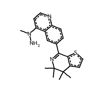 CN(N)c1ccnc2ccc(C3=NC(C)(C)C(C)(C)c4ccsc43)cc12